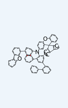 c1ccc(-c2ccccc2-c2ccc(N(c3ccc(-c4cccc5c4oc4ccccc45)cc3)c3ccc4c(c3)C3(c5ccccc5O4)c4ccccc4-c4ccccc43)c(-c3ccccc3)c2)cc1